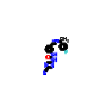 CC(NCCc1cccc(NC(=O)Nc2cnc(C#N)cn2)c1)c1ccc(F)cc1